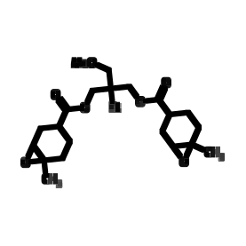 CCC(COC)(COC(=O)C1CCC2(C)OC2C1)COC(=O)C1CCC2(C)OC2C1